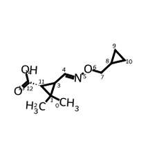 CC1(C)C(/C=N/OCC2CC2)[C@H]1C(=O)O